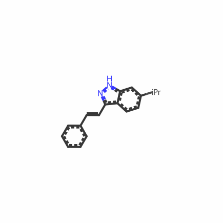 CC(C)c1ccc2c(/C=C/c3ccccc3)n[nH]c2c1